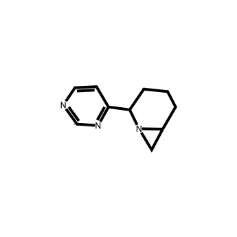 [c]1nccc(C2CCCC3CN32)n1